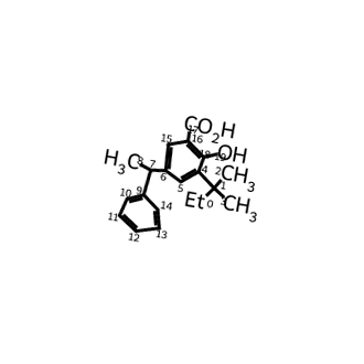 CCC(C)(C)c1cc(C(C)c2ccccc2)cc(C(=O)O)c1O